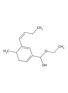 CC/C=C\C1=CC(C(O)OCC)=CCC1C